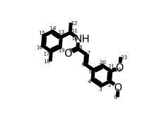 COc1ccc(/C=C/C(=O)NC(C)c2cccc(C)c2)cc1OC